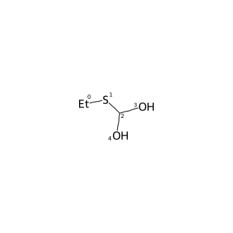 CCSC(O)O